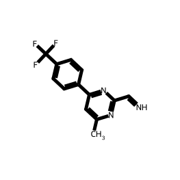 Cc1cc(-c2ccc(C(F)(F)F)cc2)nc(C=N)n1